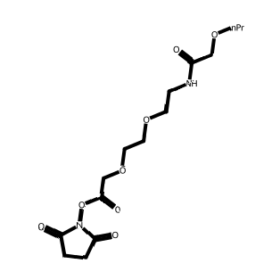 CCCOCC(=O)NCCOCCOCC(=O)ON1C(=O)CCC1=O